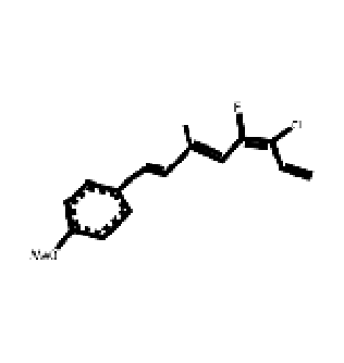 C=C\C(Cl)=C(F)/C=C(C)/C=C/c1ccc(OC)cc1